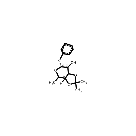 CC1O[C@H](Sc2ccccc2)[C@@H](O)C2OC(C)(C)O[C@H]12